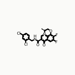 C[C@H]1COc2c(F)c(F)cc3c(=O)c(C(=O)NCc4ccc(Cl)cc4Cl)cn1c23